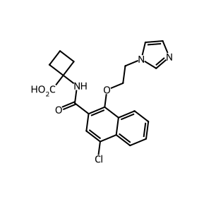 O=C(NC1(C(=O)O)CCC1)c1cc(Cl)c2ccccc2c1OCCn1ccnc1